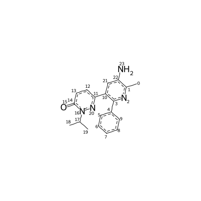 Cc1nc(-c2ccccc2)c(-c2ccc(=O)n(C(C)C)n2)cc1N